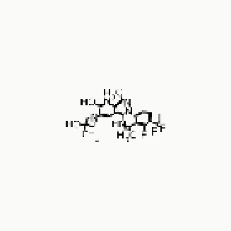 Cc1nnc(N[C@H](C)c2cccc(C(F)(F)F)c2F)c2cc(N3CC(C)(O)C3)c(O)nc12